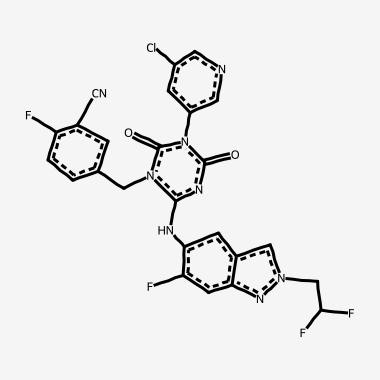 N#Cc1cc(Cn2c(Nc3cc4cn(CC(F)F)nc4cc3F)nc(=O)n(-c3cncc(Cl)c3)c2=O)ccc1F